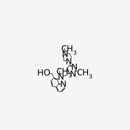 Cc1nc(CN(C)c2c(CO)ccc3cccnc23)cc(N2CCN(C)CC2)n1